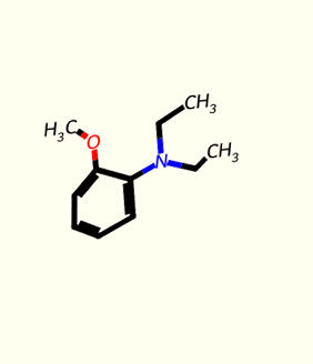 CCN(CC)c1ccccc1OC